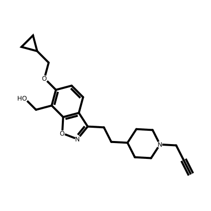 C#CCN1CCC(CCc2noc3c(CO)c(OCC4CC4)ccc23)CC1